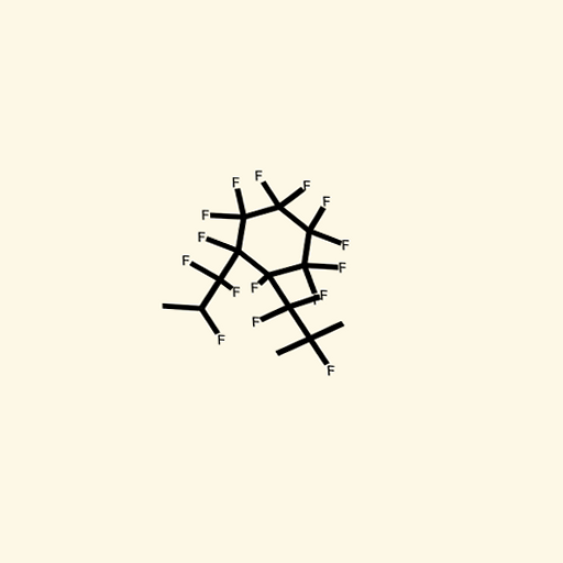 CC(F)C(F)(F)C1(F)C(F)(F)C(F)(F)C(F)(F)C(F)(F)C1(F)C(F)(F)C(C)(C)F